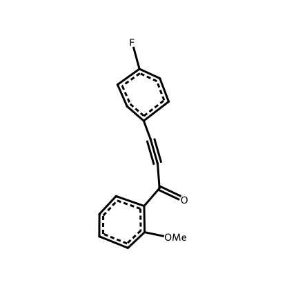 COc1ccccc1C(=O)C#Cc1ccc(F)cc1